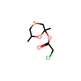 CC1CSCC(C)(OC(=O)CCl)O1